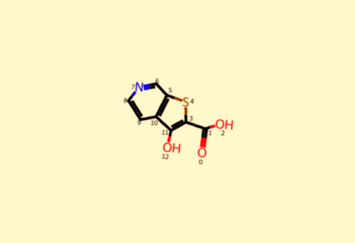 O=C(O)c1sc2cnccc2c1O